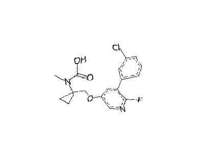 CN(C(=O)O)C1(COc2cnc(F)c(-c3cccc(Cl)c3)c2)CC1